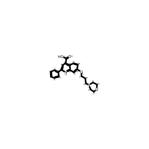 O=C(O)c1cc(-c2ccccc2)nc2cc(OCCCN3CCOCC3)ccc12